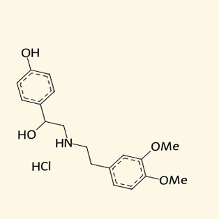 COc1ccc(CCNCC(O)c2ccc(O)cc2)cc1OC.Cl